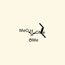 CC=CC.CO[SiH](OC)OC